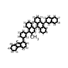 Cc1cc(-c2c3ccccc3c(-c3ccc4ccccc4c3)c3ccccc23)c2ccccc2c1-c1cccc(-c2cccc3c2sc2ccccc23)c1